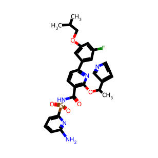 CC(C)COc1cc(F)cc(-c2ccc(C(=O)NS(=O)(=O)c3cccc(N)n3)c(OC(C)c3cccnc3)n2)c1